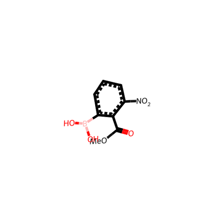 COC(=O)c1c(B(O)O)cccc1[N+](=O)[O-]